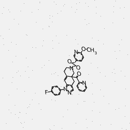 COc1ccc(S(=O)(=O)N2CCC3=Cc4c(cnn4-c4ccc(F)cc4)CC3(C(=O)c3ccccn3)C2)cn1